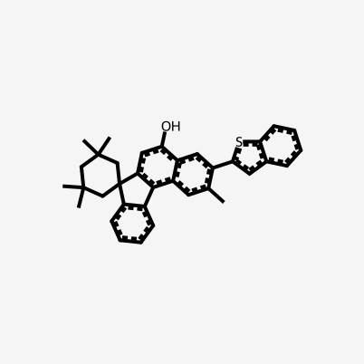 Cc1cc2c3c(cc(O)c2cc1-c1cc2ccccc2s1)C1(CC(C)(C)CC(C)(C)C1)c1ccccc1-3